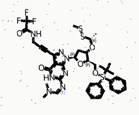 CSS[C@H](C)OC1C[C@H](n2nc(C#CCNC(=O)C(F)(F)F)c3c(=O)[nH]c(/N=C\N(C)C)nc32)O[C@@H]1CO[Si](c1ccccc1)(c1ccccc1)C(C)(C)C